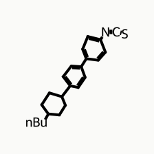 CCCCC1CCC(c2ccc(-c3ccc(N=C=S)cc3)cc2)CC1